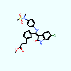 COC(=O)CCc1cccc(C(Nc2ccc(N(C)S(C)(=O)=O)cc2)=C2C(=O)Nc3cc(Cl)ccc32)c1